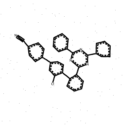 N#Cc1ccc(-c2ccc(-c3ccccc3-c3nc(-c4ccccc4)nc(-c4ccccc4)n3)c(Cl)c2)cc1